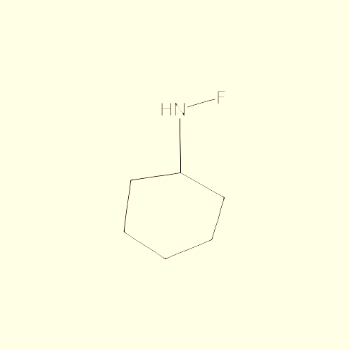 FNC1CCCCC1